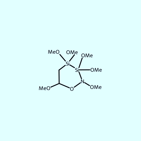 COC1C[Si](OC)(OC)[Si](OC)(OC)N(OC)O1